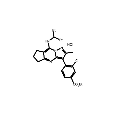 CCOC(=O)c1ccc(-c2c(C)nn3c(NC(CC)CC)c4c(nc23)CCC4)c(Cl)c1.Cl